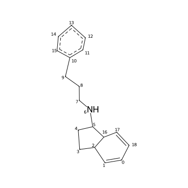 C1=CC2CCC(NCCCc3ccccc3)C2C=C1